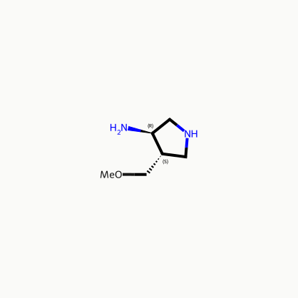 COC[C@H]1CNC[C@@H]1N